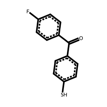 O=C(c1ccc(F)cc1)c1ccc(S)cc1